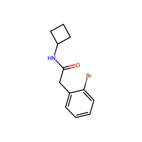 O=C(Cc1ccccc1Br)NC1CCC1